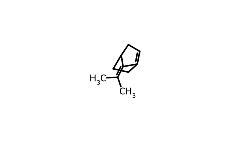 CC(C)=C1C2=CCC1CC2